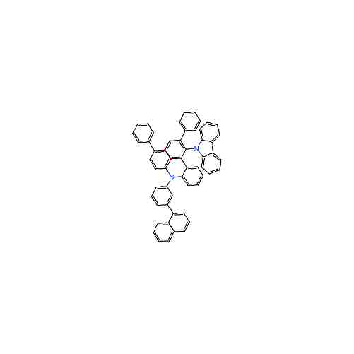 c1ccc(-c2ccc(N(c3cccc(-c4cccc5ccccc45)c3)c3ccccc3-c3cccc(-c4ccccc4)c3-n3c4ccccc4c4ccccc43)cc2)cc1